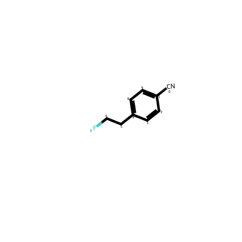 N#Cc1ccc(CCF)cc1